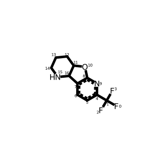 FC(F)(F)c1ccc2c(n1)OC1CCCNC21